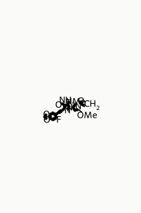 C=CC(=O)N1C[C@@H](n2nc(C#Cc3cc4c(cc3F)OCO4)c(C(N)=O)c2NC)C[C@@H]1COC